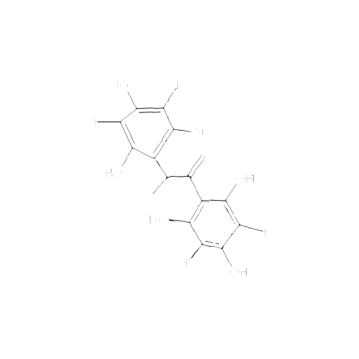 C=C(c1c(O)c(I)c(O)c(I)c1O)C(C)c1c(O)c(I)c(O)c(I)c1O